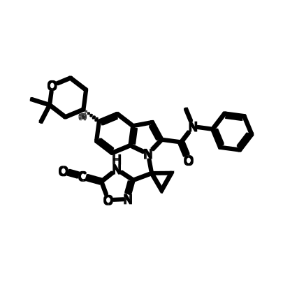 CN(C(=O)c1cc2cc([C@H]3CCOC(C)(C)C3)ccc2n1C1(C2=NOC(=C=O)N2)CC1)c1ccccc1